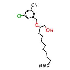 CCCCCCCCCCCCCCCCCCC(CO)OCc1cc(Cl)cc(C#N)c1